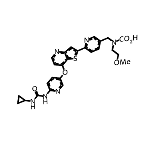 COCCN(Cc1ccc(-c2cc3nccc(Oc4ccc(NC(=O)NC5CC5)nc4)c3s2)nc1)C(=O)O